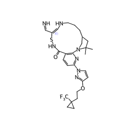 CC1(C)CC2CCCN/C=C(\C=N)SNC(=O)c3ccc(-n4ccc(OCCC5(C(F)(F)F)CC5)n4)nc3N1C2